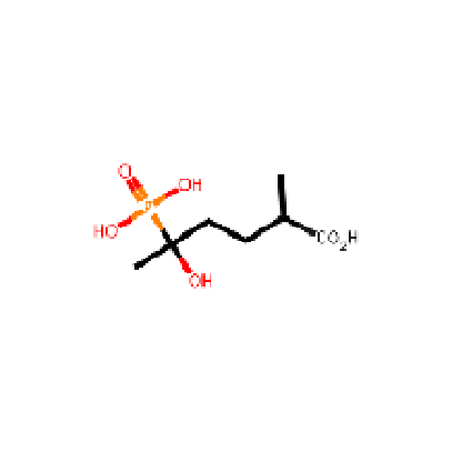 CC(CCC(C)(O)P(=O)(O)O)C(=O)O